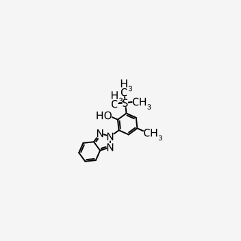 Cc1cc(-n2nc3ccccc3n2)c(O)c(S(C)(C)C)c1